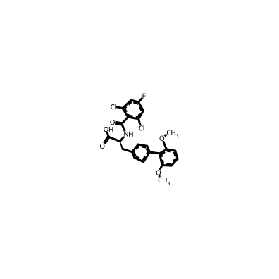 COc1cccc(OC)c1-c1ccc(C[C@H](NC(=O)c2c(Cl)cc(F)cc2Cl)C(=O)O)cc1